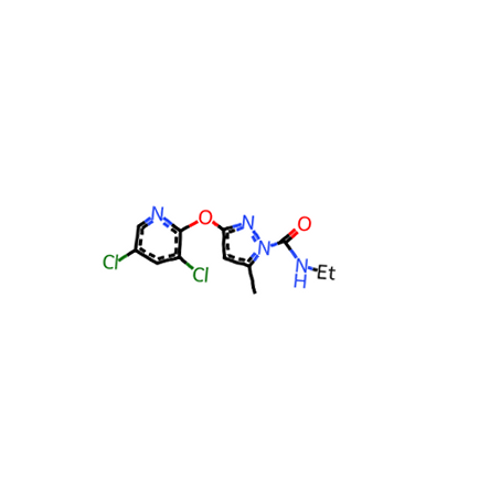 CCNC(=O)n1nc(Oc2ncc(Cl)cc2Cl)cc1C